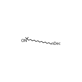 CCCCCCCCCCCCCCCCCCCCCCCC(C)(C)N=O